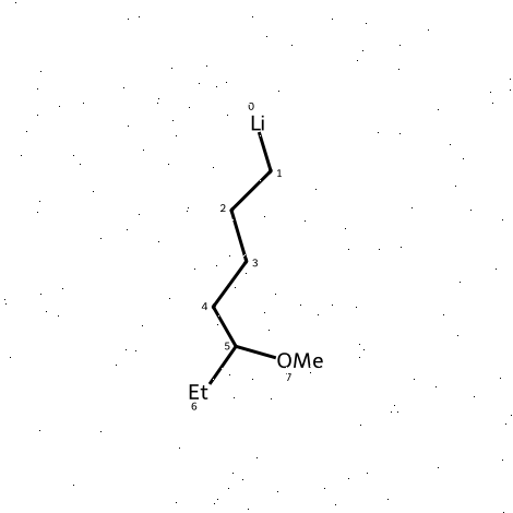 [Li][CH2]CCCC(CC)OC